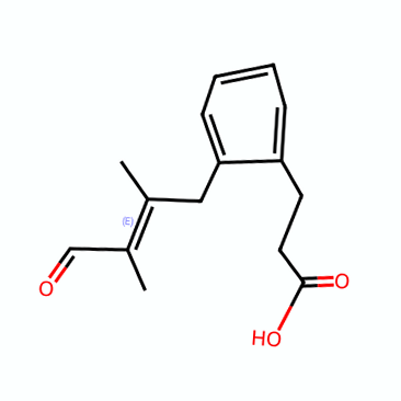 C/C(C=O)=C(/C)Cc1ccccc1CCC(=O)O